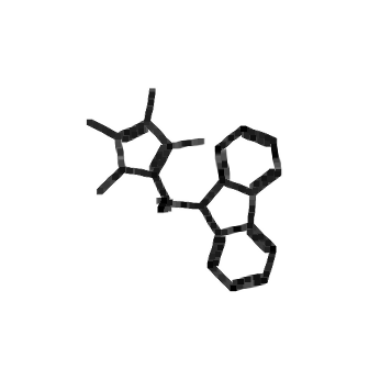 CC1=C(C)C(C)[C]([Zr][CH]2c3ccccc3-c3ccccc32)=C1C